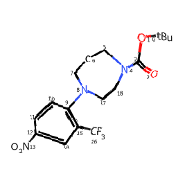 CC(C)(C)OC(=O)N1CCCN(c2ccc([N+](=O)[O-])cc2C(F)(F)F)CC1